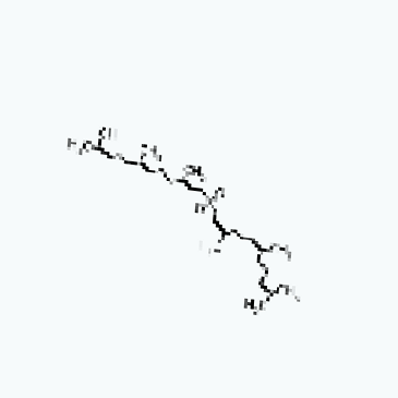 CC(C)=CCCC(C)=CCCC(C)=CCS(=O)(=O)C/C=C(\C)CC/C=C(\C)CCC=C(C)C